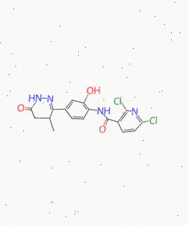 CC1CC(=O)NN=C1c1ccc(NC(=O)c2ccc(Cl)nc2Cl)c(O)c1